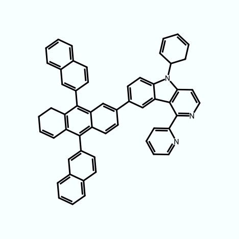 C1=CCC(n2c3ccc(-c4ccc5c(-c6ccc7ccccc7c6)c6c(c(-c7ccc8ccccc8c7)c5c4)CCC=C6)cc3c3c(-c4ccccn4)nccc32)C=C1